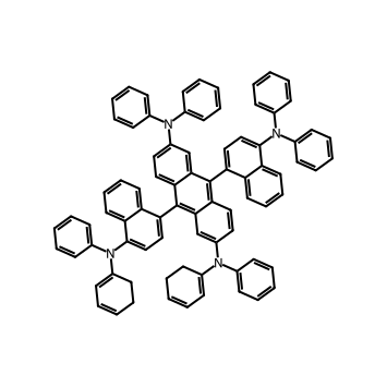 C1=CCCC(N(c2ccccc2)c2ccc3c(-c4ccc(N(c5ccccc5)c5ccccc5)c5ccccc45)c4cc(N(c5ccccc5)c5ccccc5)ccc4c(-c4ccc(N(C5=CC=CCC5)c5ccccc5)c5ccccc45)c3c2)=C1